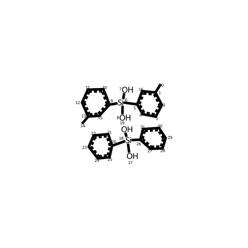 Cc1cccc([Si](O)(O)c2cccc(C)c2)c1.O[Si](O)(c1ccccc1)c1ccccc1